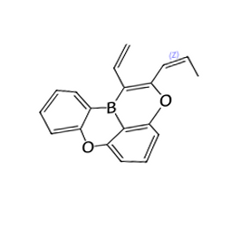 C=CC1=C(/C=C\C)Oc2cccc3c2B1c1ccccc1O3